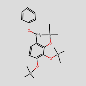 C[Si](C)(C)Oc1ccc([SiH2]Oc2ccccc2)c(O[Si](C)(C)C)c1O[Si](C)(C)C